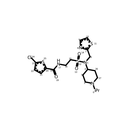 CC(C)N1CCC(N(Cc2nccs2)S(=O)(=O)CCNC(=O)c2ccc(Cl)s2)CC1